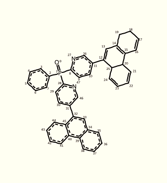 O=P(c1ccccc1)(c1ccc(C2=CC3=C(C=CCC3)C3C=CC=CC23)cn1)c1ccc(-c2cc3ccccc3c3ccccc23)cn1